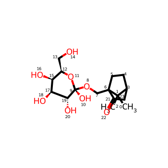 CC1(C)C2CCC1(CO[C@@]1(O)O[C@H](CO)[C@H](O)[C@H](O)[C@H]1O)C(=O)C2